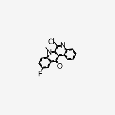 Cn1c2ccc(F)cc2c(=O)c2c3ccccc3nc(Cl)c21